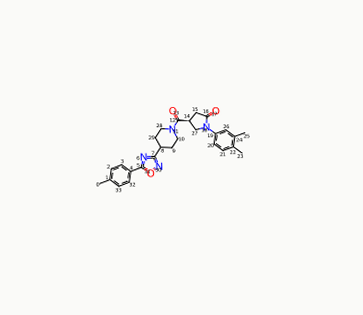 Cc1ccc(-c2nc(C3CCN(C(=O)[C@H]4CC(=O)N(c5ccc(C)c(C)c5)C4)CC3)no2)cc1